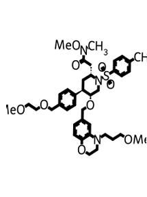 COCCCN1CCOc2ccc(CO[C@H]3CN(S(=O)(=O)c4ccc(C)cc4)[C@@H](CC(=O)N(C)OC)C[C@@H]3c3ccc(COCCOC)cc3)cc21